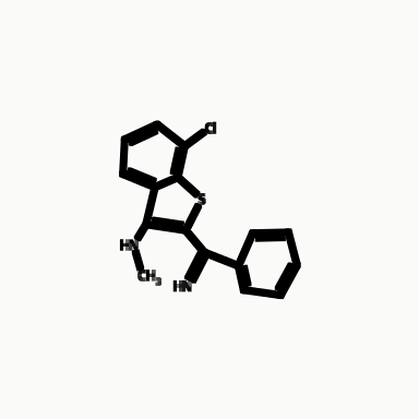 CNc1c(C(=N)c2ccccc2)sc2c(Cl)cccc12